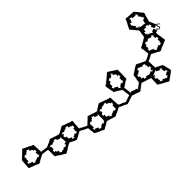 C(=C(\Cc1ccc2cc(-c3ccc4cc(-c5ccccc5)ccc4c3)ccc2c1)c1ccccc1)/c1ccc(-c2ccc3sc4ccccc4c3c2)c2ccccc12